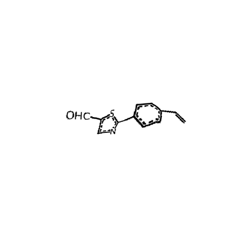 C=Cc1ccc(-c2ncc(C=O)s2)cc1